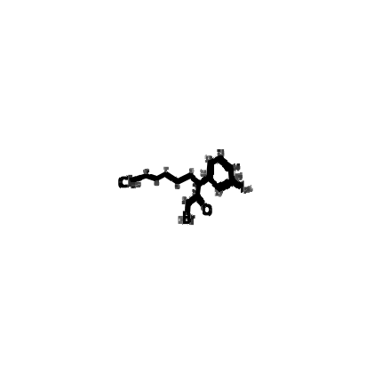 O=C(CBr)C(CCCCCCl)c1cccc(I)c1